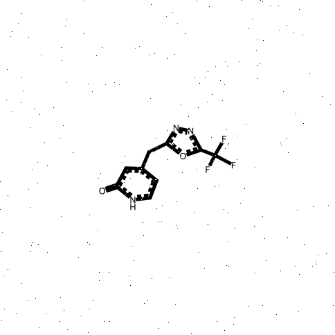 O=c1cc(Cc2nnc(C(F)(F)F)o2)cc[nH]1